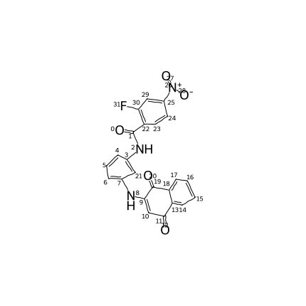 O=C(Nc1cccc(NC2=CC(=O)c3ccccc3C2=O)c1)c1ccc([N+](=O)[O-])cc1F